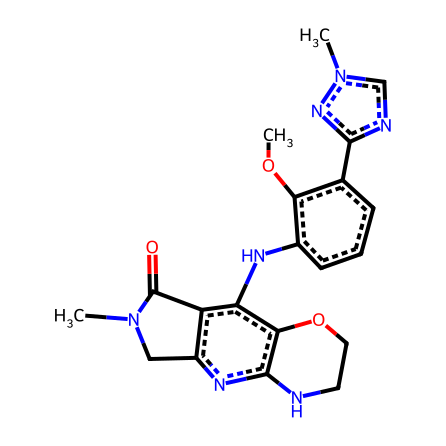 COc1c(Nc2c3c(nc4c2C(=O)N(C)C4)NCCO3)cccc1-c1ncn(C)n1